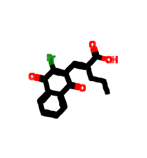 CCCC(=CC1=C(Br)C(=O)c2ccccc2C1=O)C(=O)O